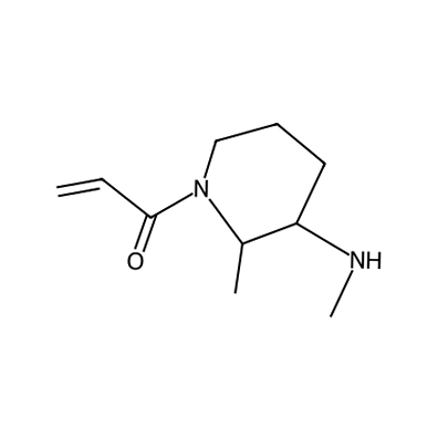 C=CC(=O)N1CCCC(NC)C1C